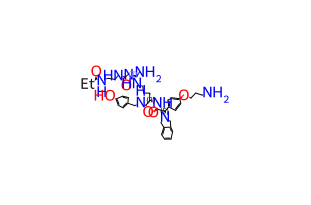 CCC(=O)NCCNC(=O)/N=C(/N)NCCC[C@@H](NC(=O)[C@H](c1ccc(OCCCN)cc1)N1Cc2ccccc2C1)C(=O)NCc1ccc(O)cc1